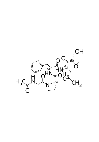 CC(=O)NCC(=O)N1CCC[C@H]1C(=O)N[C@@H](Cc1ccccc1)C(=O)N[C@@H](CC(C)C)C(=O)[C@@]1(CO)CO1